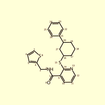 O=C(NCc1cccs1)c1cccnc1SC1CCCC(c2ccccc2)C1